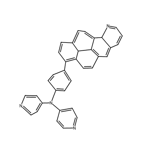 C1=CC2=CC3=C4C(=CC=C5C=CC(c6ccc(N(c7ccncc7)c7ccncc7)cc6)=C(C=C3)C54)C2N=C1